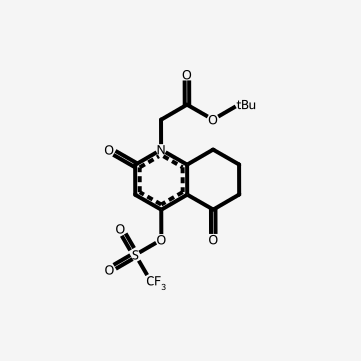 CC(C)(C)OC(=O)Cn1c2c(c(OS(=O)(=O)C(F)(F)F)cc1=O)C(=O)CCC2